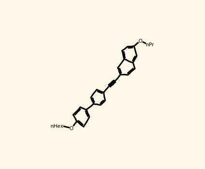 CCCCCCOc1ccc(-c2ccc(C#Cc3ccc4cc(OCCC)ccc4c3)cc2)cc1